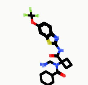 NCN(C(=O)C1CCCCC1)C1(C(=O)Nc2nc3ccc(OC(F)(F)F)cc3s2)CCC1